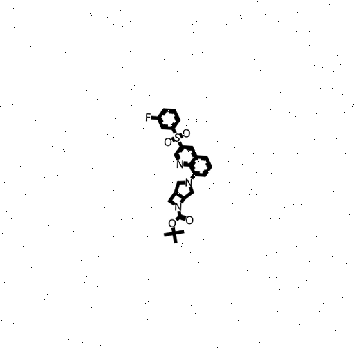 CC(C)(C)OC(=O)N1CC2CN(c3cccc4cc(S(=O)(=O)c5cccc(F)c5)cnc34)CC21